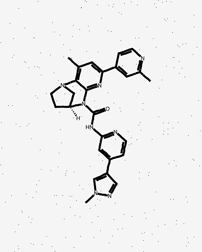 Cc1cc(-c2cc(C)c3c(n2)N(C(=O)Nc2cc(-c4cnn(C)c4)ccn2)[C@H]2CCN3C2)ccn1